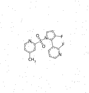 Cc1ccnc(S(=O)(=O)n2c[c]c(F)c2-c2cccnc2F)c1